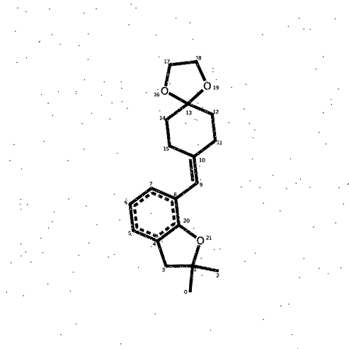 CC1(C)Cc2cccc(C=C3CCC4(CC3)OCCO4)c2O1